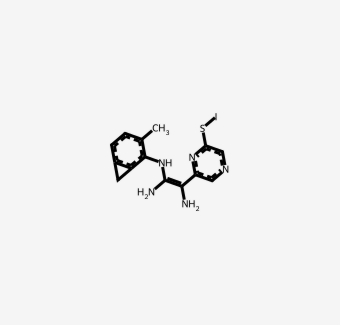 Cc1ccc2c(c1N/C(N)=C(/N)c1cncc(SI)n1)C2